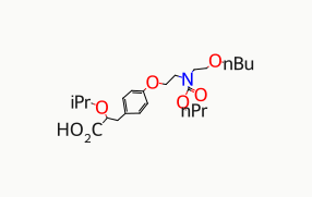 CCCCOCCN(CCOc1ccc(CC(OC(C)C)C(=O)O)cc1)C(=O)OCCC